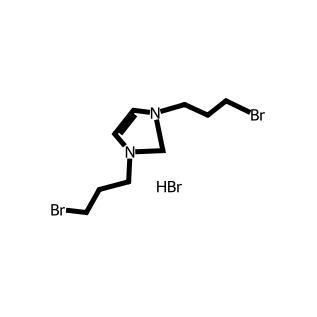 Br.BrCCCN1C=CN(CCCBr)C1